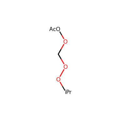 CC(=O)OOCOOC(C)C